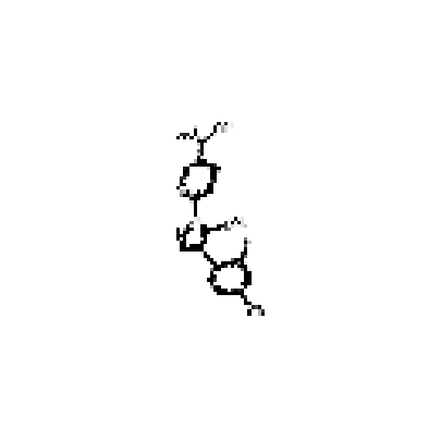 N#Cc1ccc(-c2cnn(-c3ccc(C(O)O)cn3)c2O)c(F)c1